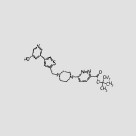 CC(C)(C)OC(=O)c1ccc(N2CCN(Cc3cc(-c4cncc(O)c4)cs3)CC2)nn1